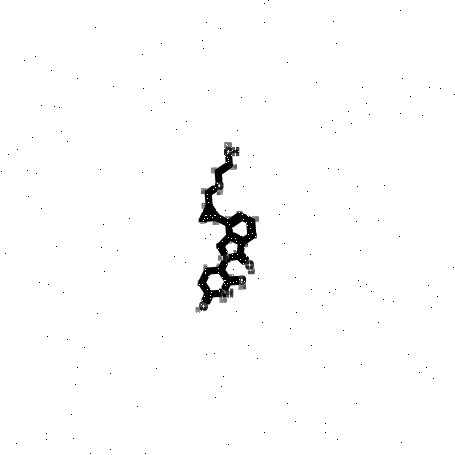 O=C1CCC(N2Cc3c(cccc3C3C=C3COCCO)C2=O)C(=O)N1